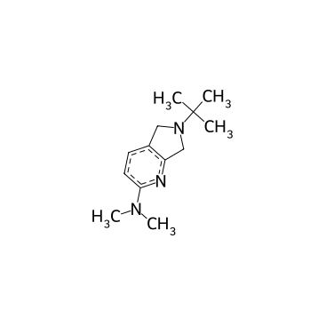 CN(C)c1ccc2c(n1)CN(C(C)(C)C)C2